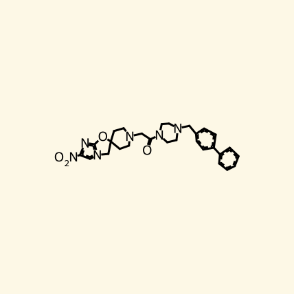 O=C(CN1CCC2(CC1)Cn1cc([N+](=O)[O-])nc1O2)N1CCN(Cc2ccc(-c3ccccc3)cc2)CC1